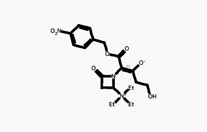 CC[N+](CC)(CC)C1CC(=O)N1/C(C(=O)OCc1ccc([N+](=O)[O-])cc1)=C(/[O-])CCO